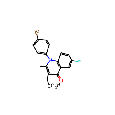 Cc1c(CC(=O)O)c(=O)c2cc(F)ccc2n1-c1ccc(Br)cc1